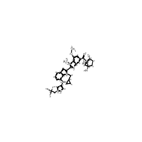 COc1cc(C(=O)N2C[C@H]3CC[C@@H]2[C@@H]3N)cc2nc(-c3cc4cccc(Nc5cnn(CC(F)(F)F)c5)c4n3CC3CC3)n(C)c12